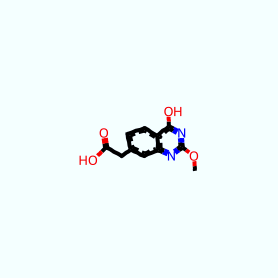 COc1nc(O)c2ccc(CC(=O)O)cc2n1